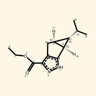 CCOC(=O)c1n[nH]c2c1C[C@@H]1[C@H]2[C@H]1C(C)C